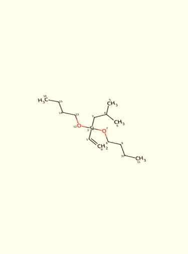 C=C[Si](CC(C)C)(OCCCC)OCCCC